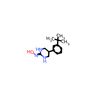 CC(C)(C)c1cccc(C2CNC(=NO)NC2)c1